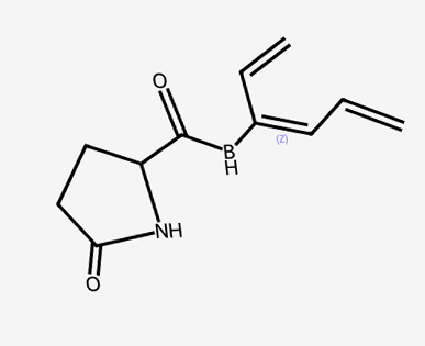 C=C/C=C(/BC(=O)C1CCC(=O)N1)C=C